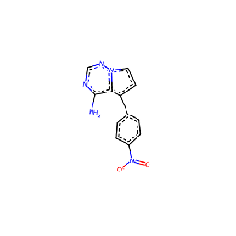 Nc1ncnn2ccc(-c3ccc([N+](=O)[O-])cc3)c12